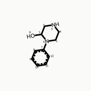 OC1CNCCN1c1ccccc1